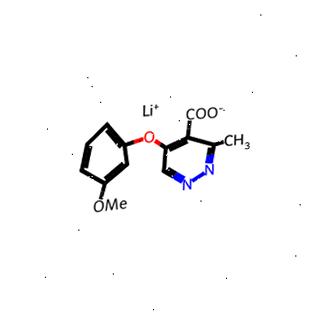 COc1cccc(Oc2cnnc(C)c2C(=O)[O-])c1.[Li+]